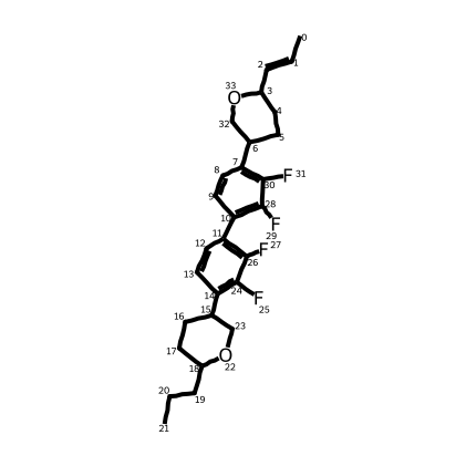 C/C=C/C1CCC(c2ccc(-c3ccc(C4CCC(CCC)OC4)c(F)c3F)c(F)c2F)CO1